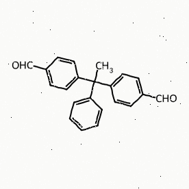 CC(c1ccccc1)(c1ccc(C=O)cc1)c1ccc(C=O)cc1